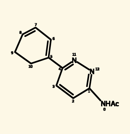 CC(=O)Nc1ccc(C2=CC=CCC2)nn1